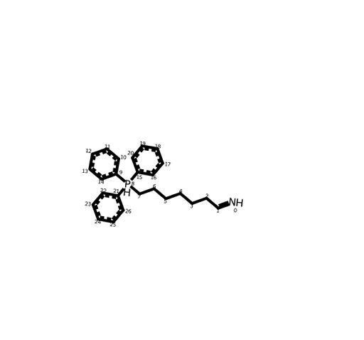 N=CCCCCCC[PH](c1ccccc1)(c1ccccc1)c1ccccc1